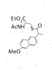 CCOC(=O)C(CSC(=O)C(C)c1ccc2cc(OC)ccc2c1)NC(C)=O